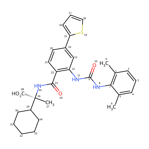 Cc1cccc(C)c1NC(=O)Nc1cc(-c2cccs2)ccc1C(=O)N[C@](C)(C(=O)O)C1CCCCC1